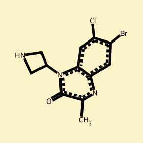 Cc1nc2cc(Br)c(Cl)cc2n(C2CNC2)c1=O